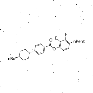 CCCCCc1ccc(OC(=O)c2ccc([C@H]3CC[C@H](CCCC)CC3)cc2)c(F)c1F